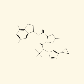 Cc1cc(Cl)cc2c1CCC2NC(=O)C1CC(O)CN1C(=O)C(n1cc(C2CC2)nn1)C(C)(C)C